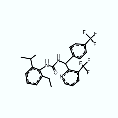 CCc1cccc(C(C)C)c1NC(=O)NC(c1ccc(C(F)(F)F)cc1)c1ncccc1C(F)(F)F